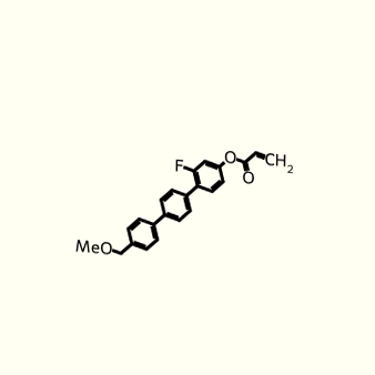 C=CC(=O)Oc1ccc(-c2ccc(-c3ccc(COC)cc3)cc2)c(F)c1